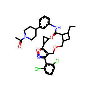 CCC1CC(COCc2c(-c3c(Cl)cccc3Cl)noc2C2CC2)C1C(=O)Nc1cccc(C2CCN(C(C)=O)CC2)c1